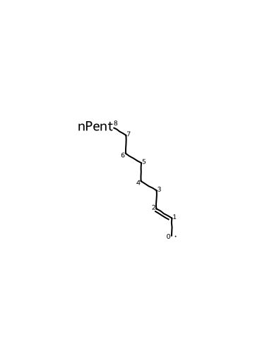 [CH2]C=CCCCCCCCCC[CH2]